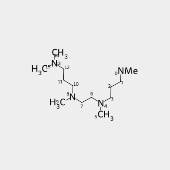 CNCCCN(C)CCN(C)CCCN(C)C